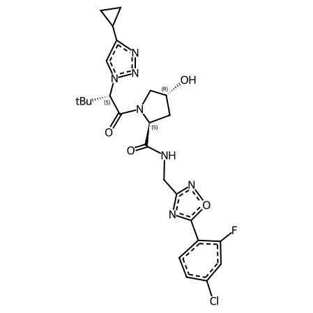 CC(C)(C)[C@@H](C(=O)N1C[C@H](O)C[C@H]1C(=O)NCc1noc(-c2ccc(Cl)cc2F)n1)n1cc(C2CC2)nn1